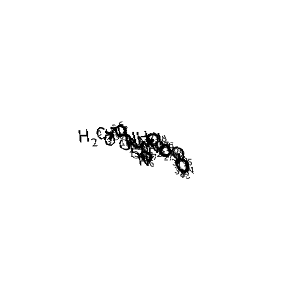 C=CC(=O)N1CCCC(NC(=O)c2sc3nccc4c3c2NC(=O)N4c2ccc(Oc3ccccc3)cc2Cl)C1